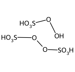 O=S(=O)(O)OO.O=S(=O)(O)OOS(=O)(=O)O